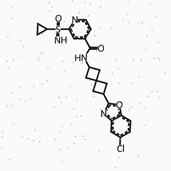 N=S(=O)(c1cc(C(=O)NC2CC3(C2)CC(c2nc4cc(Cl)ccc4o2)C3)ccn1)C1CC1